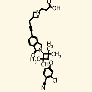 CC1(C)[C@H](Oc2ccc(C#N)c(Cl)c2)C(C)(C)[C@H]1N1Cc2cc(C#CCC3CN(CCC(=O)O)C3)ccc2C1=O